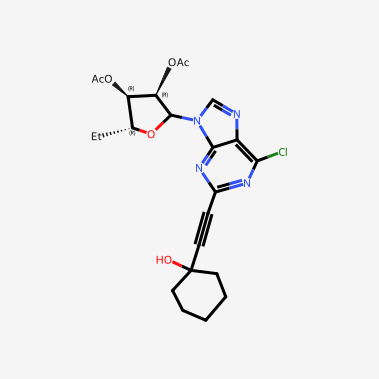 CC[C@H]1OC(n2cnc3c(Cl)nc(C#CC4(O)CCCCC4)nc32)[C@H](OC(C)=O)[C@@H]1OC(C)=O